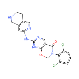 O=C1c2cnc(Nc3cc4c(cn3)CCNC4)nc2OCN1c1c(Cl)cccc1Cl